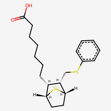 O=C(O)CCCCCC[C@@H]1[C@H](CSc2ccccc2)[C@@H]2CC[C@H]1S2